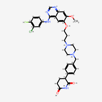 COc1cc2ncnc(Nc3ccc(F)c(Cl)c3)c2cc1OCCCN1CCN(Cc2ccc(C3CCC(=O)NC3=O)cc2)CC1